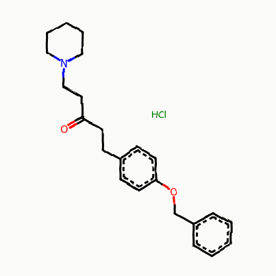 Cl.O=C(CCc1ccc(OCc2ccccc2)cc1)CCN1CCCCC1